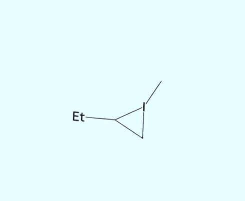 CCC1CI1C